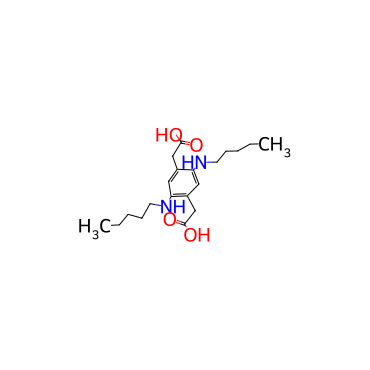 CCCCCNc1cc(CC(=O)O)c(NCCCCC)cc1CC(=O)O